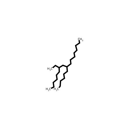 CCCCCCCCC(CCCCCC)CC(CC)CCCCCC